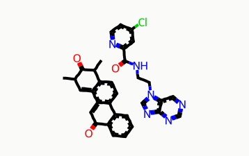 CC1C=c2c(ccc3c2=CC(=O)c2ccccc2-3)C(C)C1=O.O=C(NCCn1cnc2ncncc21)c1cc(Cl)ccn1